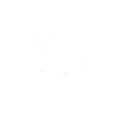 C[N@@+]1(CC=CC2=C(C(=O)[O-])N3C(=O)CC3SC2)CCC[C@H]1CO.I